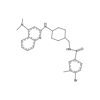 Cc1cc(C(=O)NCC2CCC(Nc3cc(N(C)C)c4ccccc4n3)CC2)ccc1Br